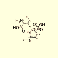 CCC(C)[C@@H](N)C(=O)O.CCc1ccc(S(=O)(=O)O)cc1